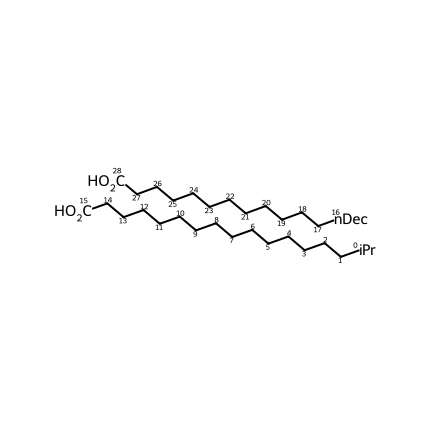 CC(C)CCCCCCCCCCCCCCC(=O)O.CCCCCCCCCCCCCCCCCCCCCC(=O)O